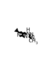 Cc1cc(Nc2cc3cc(C4CC4)ncc3cn2)ncn1